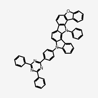 c1ccc(-c2nc(-c3ccccc3)nc(-c3ccc(-n4c5ccccc5c5c4ccc4c6ccc7oc8ccccc8c7c6n(-c6ccccc6)c45)cc3)n2)cc1